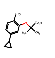 CC(C)(Oc1cc(C2CC2)ccc1C=O)C(=O)O